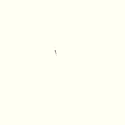 CC[C@@H]1CCCC[C@H]1NCl